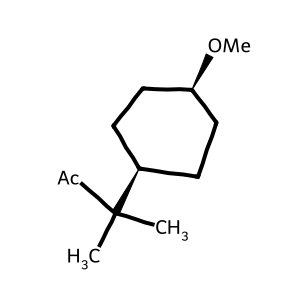 CO[C@H]1CC[C@@H](C(C)(C)C(C)=O)CC1